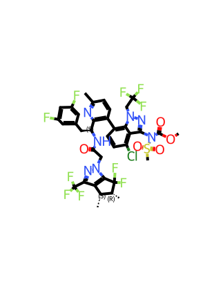 COC(=O)N(c1nn(CC(F)(F)F)c2c(-c3ccc(C)nc3[C@H](Cc3cc(F)cc(F)c3)NC(=O)Cn3nc(C(F)(F)F)c4c3C(F)(F)[C@H](C)[C@@H]4C)ccc(Cl)c12)S(C)(=O)=O